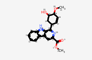 COC(=O)c1cc2c([nH]c3ccccc32)c(C2C=CC(OC)C(O)C2)n1